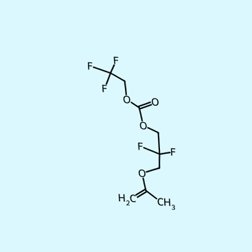 C=C(C)OCC(F)(F)COC(=O)OCC(F)(F)F